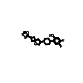 Oc1cc(F)c(F)cc1C1CCN(C2COC3(C2)CN(c2nnco2)C3)CC1